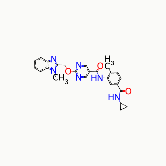 Cc1ccc(C(=O)NC2CC2)cc1NC(=O)c1cnc(OCc2nc3ccccc3n2C)nc1